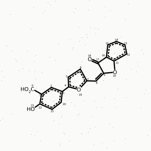 O=C(O)c1cc(-c2ccc(C=C3Oc4ccccc4C3=O)o2)ccc1O